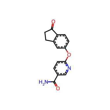 NC(=O)c1ccc(Oc2ccc3c(c2)CCC3=O)nc1